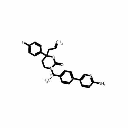 C=CCC1(c2ccc(F)cc2)CCN([C@@H](C)c2ccc(-c3ccc(N)nc3)cc2)C(=O)O1